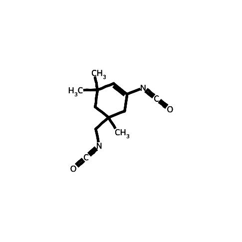 CC1(C)C=C(N=C=O)CC(C)(CN=C=O)C1